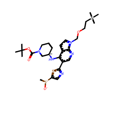 C[S+]([O-])c1cnc(-c2cnc3c(ccn3COCC[Si](C)(C)C)c2N[C@@H]2CCCN(C(=O)OC(C)(C)C)C2)s1